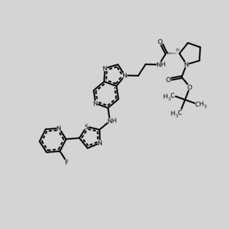 CC(C)(C)OC(=O)N1CCC[C@H]1C(=O)NCCn1cnc2cnc(Nc3ncc(-c4ncccc4F)s3)cc21